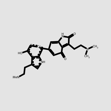 CNCCc1c[nH]c2c(C3=CC(=O)C4=C(CCN(C)C)C(=O)NC4=C3)ccc(O)c12